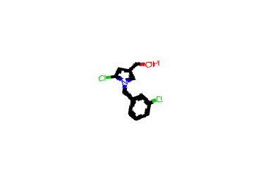 OCc1cc(Cl)n(Cc2cccc(Cl)c2)c1